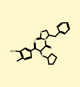 COc1cc(C(=O)C(OC2CCCC2)C(=O)N2C(=O)OCC2Cc2ccccc2)ccc1C